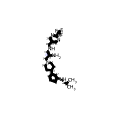 CC(C)SNc1cccc(C2CCN(C/C(N)=C/NCc3cnc(C(F)(F)F)nc3)CC2)c1